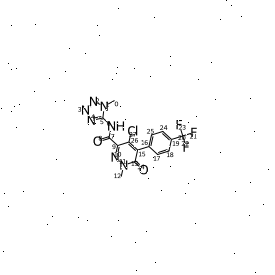 Cn1nnnc1NC(=O)c1nn(C)c(=O)c(-c2ccc(C(F)(F)F)cc2)c1Cl